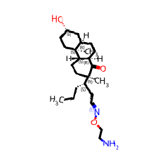 CCC[C@@H](C/C=N/OCCN)[C@@]1(C)CC[C@H]2[C@@H](CC[C@@H]3C[C@@H](O)CC[C@@]32C)C1=O